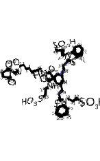 O=C(CCCCCNC(=O)C1(C(=O)NCCS(=O)(=O)O)CC(/C=C/c2sc3ccccc3[n+]2CCCS(=O)(=O)O)=CC(=C/C=C2\Sc3ccccc3N2CCCS(=O)(=O)O)/C1)ON1C(=O)CCC1=O